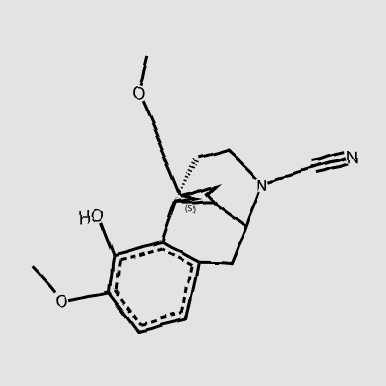 COc1ccc2c(c1O)[C@]13CCN(C#N)C(C2)C1CCC(OC)C3